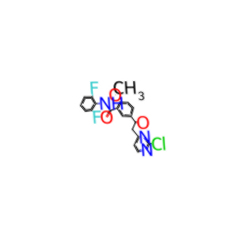 COc1ccc(C(=O)Cc2ccnc(Cl)n2)cc1C(=O)Nc1c(F)cccc1F